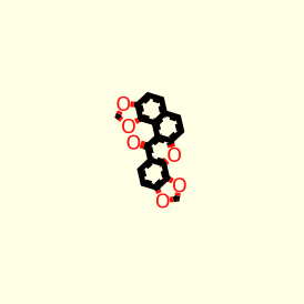 O=c1c2ccc3c(c2oc2ccc4ccc5c(c4c12)OCO5)OCO3